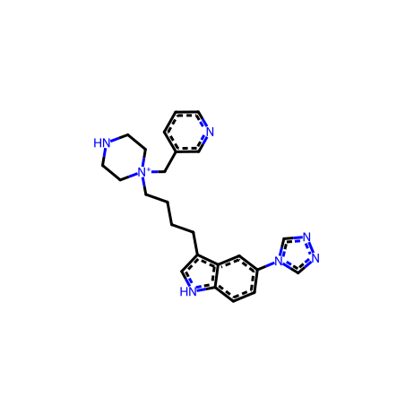 c1cncc(C[N+]2(CCCCc3c[nH]c4ccc(-n5cnnc5)cc34)CCNCC2)c1